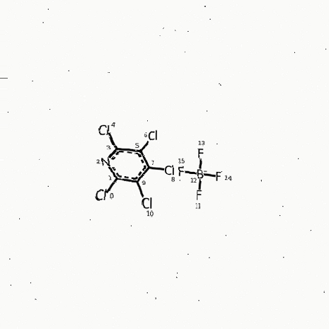 Clc1nc(Cl)c(Cl)c(Cl)c1Cl.F[B-](F)(F)F